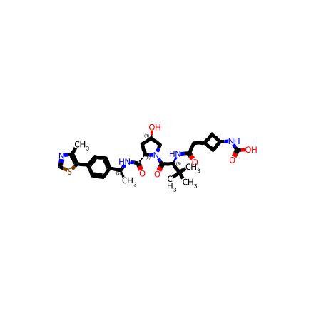 Cc1ncsc1-c1ccc([C@H](C)NC(=O)[C@@H]2C[C@@H](O)CN2C(=O)[C@@H](NC(=O)CC2CC(NC(=O)O)C2)C(C)(C)C)cc1